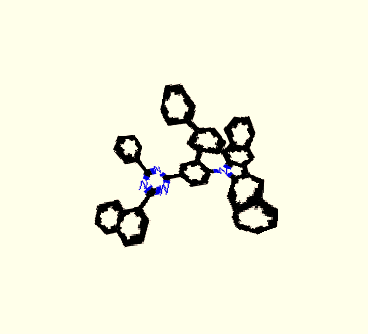 c1ccc(-c2cccc(-c3cc(-c4nc(-c5ccccc5)nc(-c5cccc6ccccc56)n4)ccc3-n3c4cc5ccccc5cc4c4cc5ccccc5cc43)c2)cc1